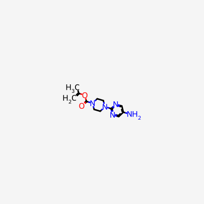 C=C(C)OC(=O)N1CCN(c2ncc(N)cn2)CC1